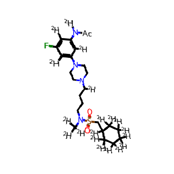 [2H]c1c(F)c([2H])c(N([2H])C(C)=O)c([2H])c1N1CCN(C([2H])CCCN(C([2H])([2H])[2H])S(=O)(=O)CC2([2H])C([2H])([2H])C([2H])([2H])C([2H])([2H])C([2H])([2H])C2([2H])[2H])CC1